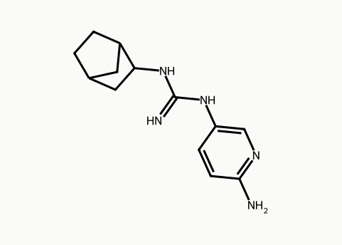 N=C(Nc1ccc(N)nc1)NC1CC2CCC1C2